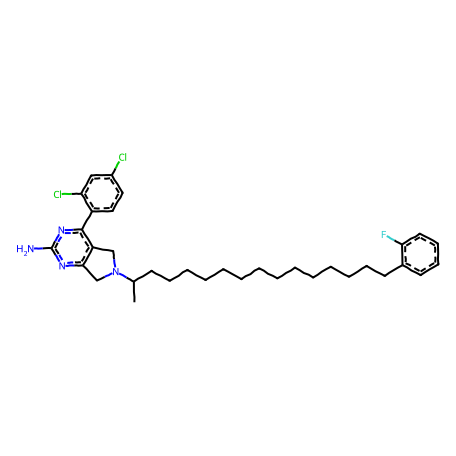 CC(CCCCCCCCCCCCCCc1ccccc1F)N1Cc2nc(N)nc(-c3ccc(Cl)cc3Cl)c2C1